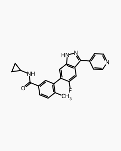 Cc1ccc(C(=O)NC2CC2)cc1-c1cc2[nH]nc(-c3ccncc3)c2cc1F